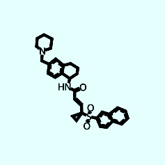 O=C(C=CC1(S(=O)(=O)c2ccc3ccccc3c2)CC1)NC1CCCc2cc(CN3CCCCC3)ccc21